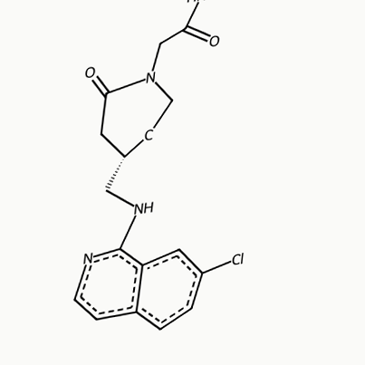 CC(C)(C)NC(=O)CN1CC[C@H](CNc2nccc3ccc(Cl)cc23)CC1=O